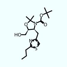 CCCc1nc(C[C@H]2[C@@H](CO)OC(C)(C)N2C(=O)OC(C)(C)C)cs1